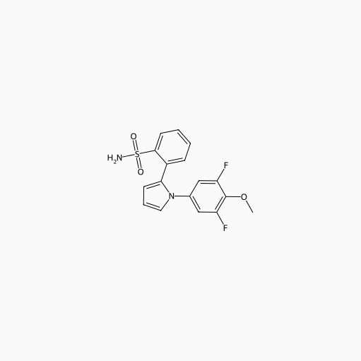 COc1c(F)cc(-n2cccc2-c2ccccc2S(N)(=O)=O)cc1F